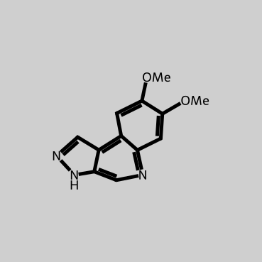 COc1cc2ncc3[nH]ncc3c2cc1OC